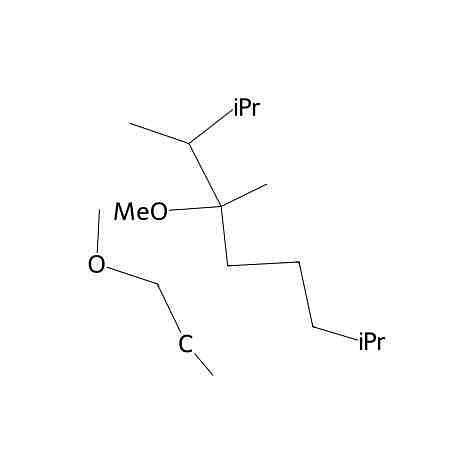 CCCOC.COC(C)(CCCC(C)C)C(C)C(C)C